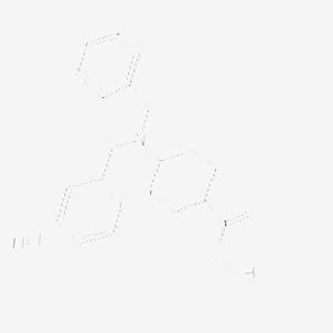 COC(=O)C1CCC(N(Cc2ccccc2)Cc2ccccc2)CC1.Cl